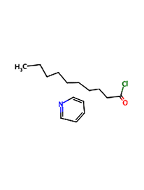 CCCCCCCCCC(=O)Cl.c1ccncc1